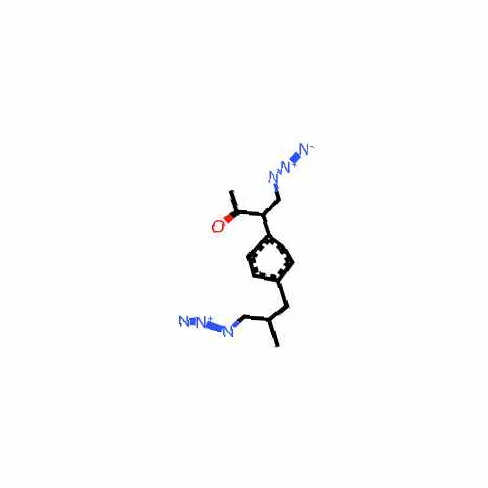 CC(=O)C(CN=[N+]=[N-])c1ccc(CC(C)CN=[N+]=[N-])cc1